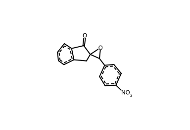 O=C1c2ccccc2CC12OC2c1ccc([N+](=O)[O-])cc1